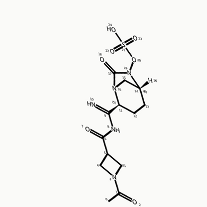 CC(=O)N1CC(C(=O)NC(=N)[C@@H]2CC[C@@H]3CN2C(=O)N3OS(=O)(=O)O)C1